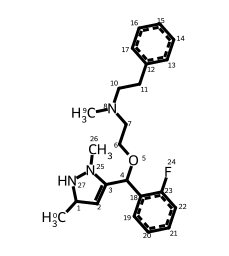 CC1C=C(C(OCCN(C)CCc2ccccc2)c2ccccc2F)N(C)N1